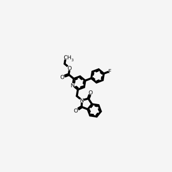 CCOC(=O)c1cc(-c2ccc(F)cc2)cc(CN2C(=O)c3ccccc3C2=O)n1